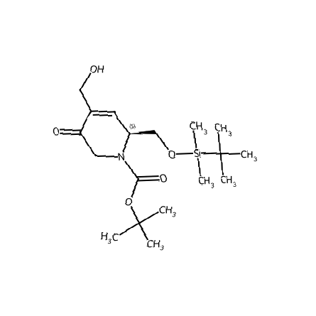 CC(C)(C)OC(=O)N1CC(=O)C(CO)=C[C@H]1CO[Si](C)(C)C(C)(C)C